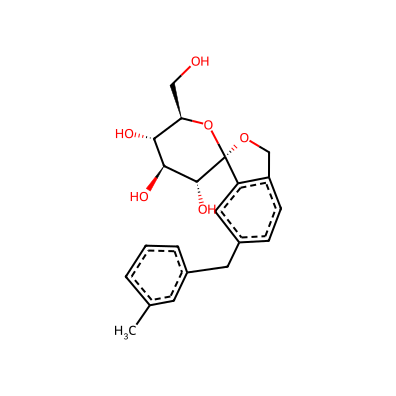 Cc1cccc(Cc2ccc3c(c2)[C@]2(OC3)O[C@H](CO)[C@@H](O)[C@H](O)[C@H]2O)c1